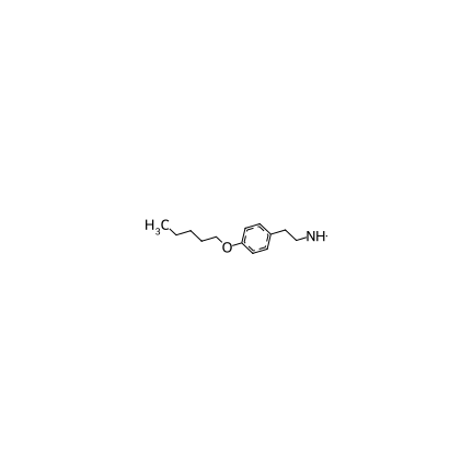 CCCCCOc1ccc(CC[NH])cc1